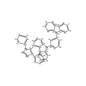 c1ccc(-c2nnn(-c3ccccc3)c2-c2cccc3c2c2ccccc2n3-c2cccc(-n3c4ccccc4c4ccccc43)c2)cc1